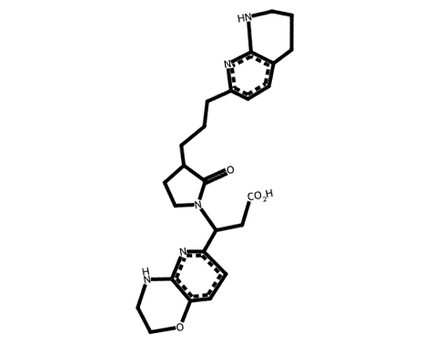 O=C(O)CC(c1ccc2c(n1)NCCO2)N1CCC(CCCc2ccc3c(n2)NCCC3)C1=O